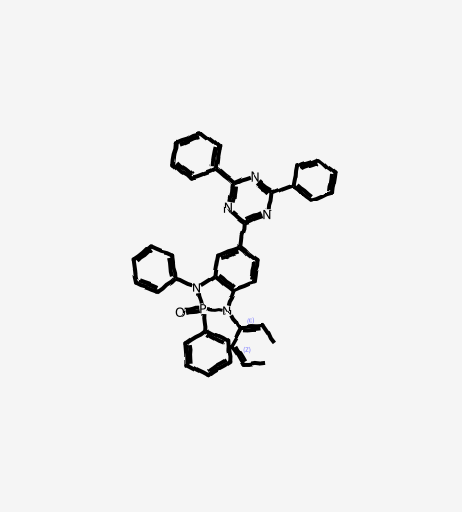 C/C=C\C(=C/C)N1c2ccc(-c3nc(-c4ccccc4)nc(-c4ccccc4)n3)cc2N(c2ccccc2)P1(=O)c1ccccc1